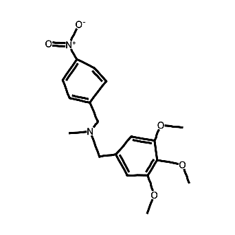 COc1cc(CN(C)Cc2ccc([N+](=O)[O-])cc2)cc(OC)c1OC